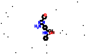 C=C(N[C@H](CO)c1ccccc1)c1ccc(-c2nc(C3CCOCC3)cnc2N)cc1